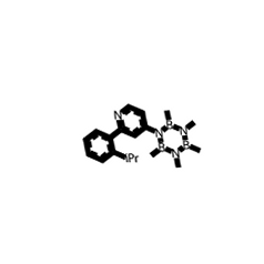 CB1N(C)B(C)N(c2ccnc(-c3ccccc3C(C)C)c2)B(C)N1C